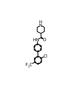 O=C(Nc1ccc(-c2cc(C(F)(F)F)ccc2Cl)cc1)C1CCNCC1